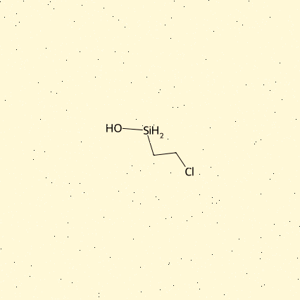 O[SiH2]CCCl